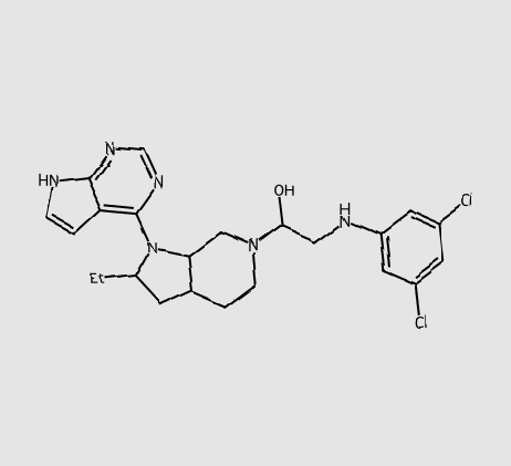 CCC1CC2CCN(C(O)CNc3cc(Cl)cc(Cl)c3)CC2N1c1ncnc2[nH]ccc12